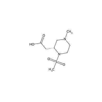 CN1CCN(S(C)(=O)=O)[C@H](CC(=O)O)C1